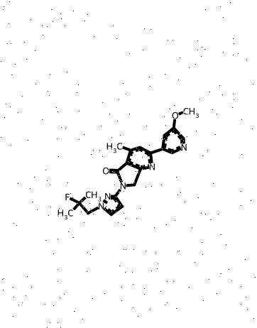 COc1cncc(-c2cc(C)c3c(n2)CN(c2ccn(CC(C)(C)F)n2)C3=O)c1